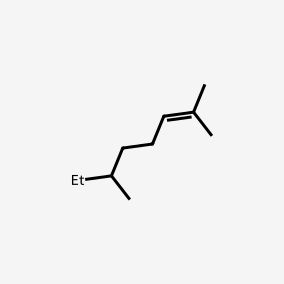 CCC(C)CCC=C(C)C